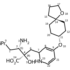 CC(C)C[C@H](N)[C@](O)(CC1C=C(O[C@H]2CC[C@]3(CCCO3)CC2)C=CN1)C(=O)O